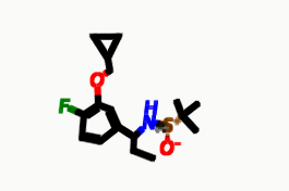 CCC(N[S@@+]([O-])C(C)(C)C)c1ccc(F)c(OCC2CC2)c1